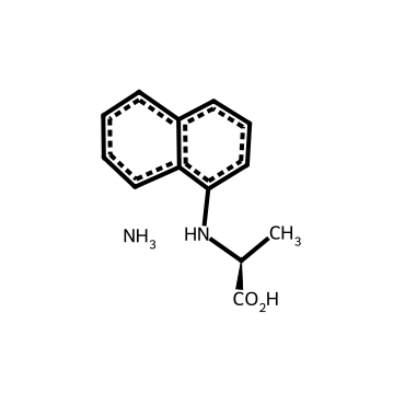 C[C@H](Nc1cccc2ccccc12)C(=O)O.N